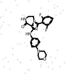 O=C1NCCn2c(-c3c(F)cccc3F)nc(Nc3ccc(N4CCOCC4)cc3)c21